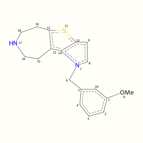 COc1cccc(Cn2ccc3sc4c(c32)CCNCC4)c1